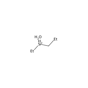 CCC[SiH2]CC.O